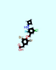 O=C(O)Cc1cc(Br)c(OCc2cc(Cl)cc(NC3CCC3)c2F)c(Br)c1